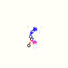 Cc1nn(C)c(C)c1CN1CC(N2CCc3cc(OCc4ccccc4)c(N4CC(=O)NS4(=O)=O)c(F)c3C2)C1